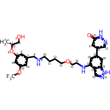 C[C@@H](CO)Oc1cc(CNCCCCOCCNc2cc(-c3cn[nH]c(=O)c3)cc3[nH]ncc23)cc(OC(F)(F)F)c1